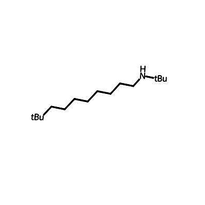 CC(C)(C)CCCCCCCCNC(C)(C)C